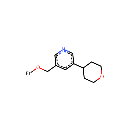 CCOCc1cncc(C2CCOCC2)c1